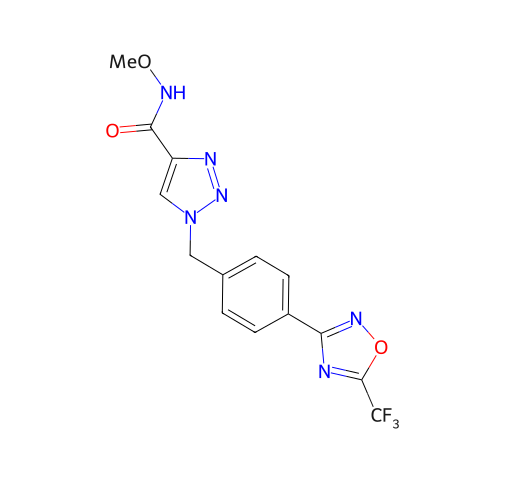 CONC(=O)c1cn(Cc2ccc(-c3noc(C(F)(F)F)n3)cc2)nn1